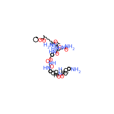 C=C(CCCCC[C@@H](N)C(=O)N[C@H](C(=O)N[C@@H](CCCNC(N)=O)C(=O)Nc1ccc(COC(=O)NCC(=O)Nc2ccc3c(c2)[C@@]2(C)CCC[C@](C)(C(=O)NC(=O)[C@@]4(C)CCC[C@]5(C)c6cc(N)ccc6CC[C@@H]45)[C@@H]2CC3)cc1)C(C)C)C(=O)COC1C#CCCCCC1